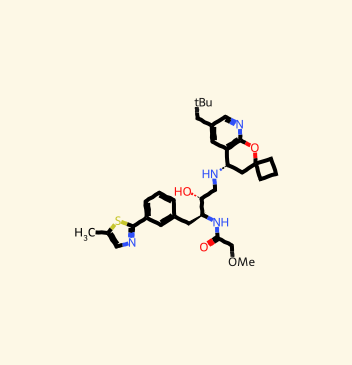 COCC(=O)N[C@@H](Cc1cccc(-c2ncc(C)s2)c1)[C@H](O)CN[C@H]1CC2(CCC2)Oc2ncc(CC(C)(C)C)cc21